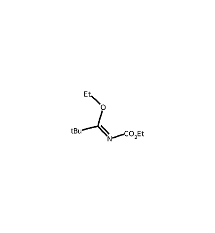 CCOC(=O)N=C(OCC)C(C)(C)C